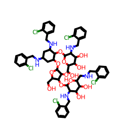 OCC1OC(OC2C(NCc3ccccc3Cl)CC(NCc3ccccc3Cl)CC2OC2OC(CO)C(OC3OC(CNCc4ccccc4Cl)C(O)C(O)C3NCc3ccccc3Cl)C2O)C(NCc2ccccc2Cl)C(O)C1O